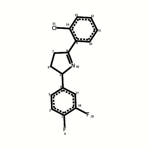 Fc1ccc(C2CCC(c3ccccc3Cl)=N2)cc1F